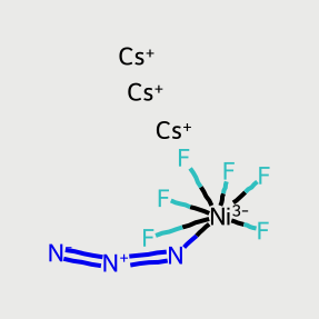 [Cs+].[Cs+].[Cs+].[N-]=[N+]=[N][Ni-3]([F])([F])([F])([F])([F])[F]